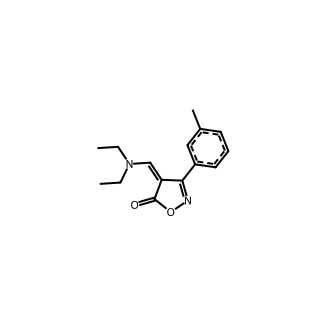 CCN(/C=C1\C(=O)ON=C1c1cccc(C)c1)CC